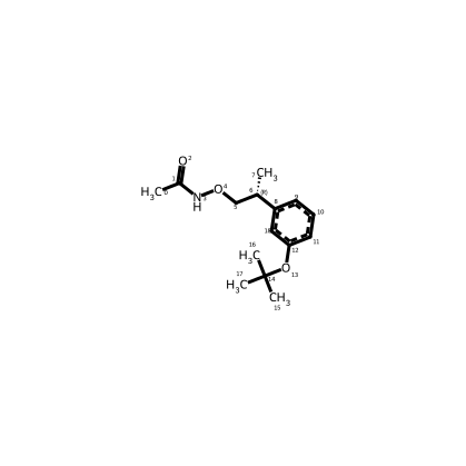 CC(=O)NOC[C@H](C)c1cccc(OC(C)(C)C)c1